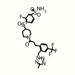 Cc1nnn(Cc2cc(C(F)(F)F)ccc2CCC(=O)N2CCC([S@@+]([O-])c3ccc(S(N)(=O)=O)cc3F)CC2)n1